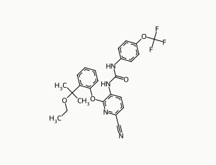 CCOC(C)(C)c1ccccc1Oc1nc(C#N)ccc1NC(=O)Nc1ccc(OC(F)(F)F)cc1